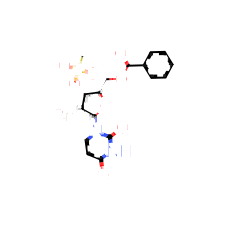 CS(=O)(=O)O[C@H]1[C@@H](Br)[C@H](n2ccc(=O)[nH]c2=O)O[C@@H]1COC(=O)c1ccccc1